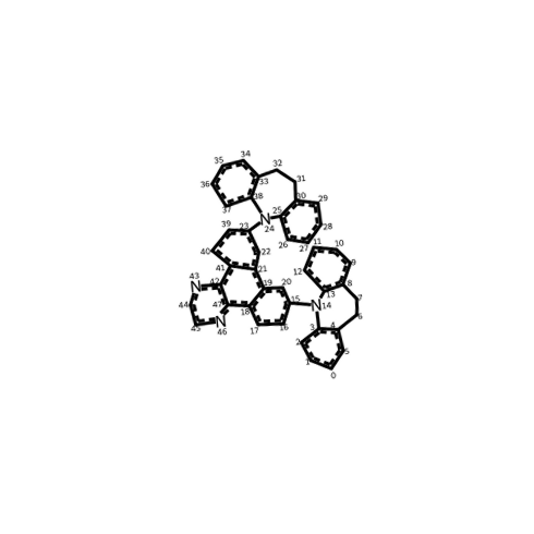 c1ccc2c(c1)CCc1ccccc1N2c1ccc2c(c1)c1cc(N3c4ccccc4CCc4ccccc43)ccc1c1nccnc21